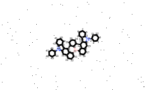 c1ccc(-n2c3ccccc3c3c4c5c(cccc5cc32)B2c3c-4cccc3-c3c4c2cccc4cc2c3c3ccccc3n2-c2ccccc2)cc1